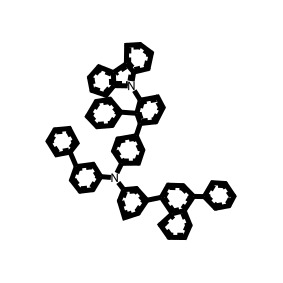 c1ccc(-c2cccc(N(c3ccc(-c4cccc(-n5c6ccccc6c6ccccc65)c4-c4ccccc4)cc3)c3cccc(-c4ccc(-c5ccccc5)c5ccccc45)c3)c2)cc1